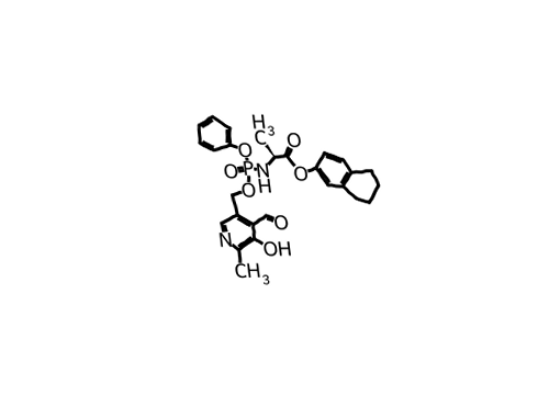 Cc1ncc(COP(=O)(N[C@@H](C)C(=O)Oc2ccc3c(c2)CCCC3)Oc2ccccc2)c(C=O)c1O